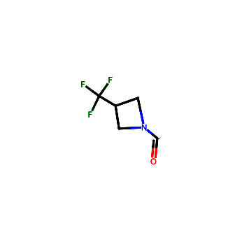 O=[C]N1CC(C(F)(F)F)C1